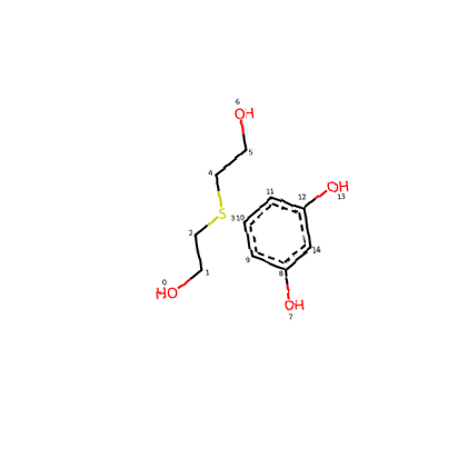 OCCSCCO.Oc1cccc(O)c1